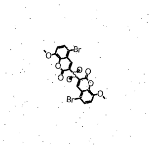 COc1ccc(Br)c2cc(S(=O)(=O)c3cc4c(Br)ccc(OC)c4oc3=O)c(=O)oc12